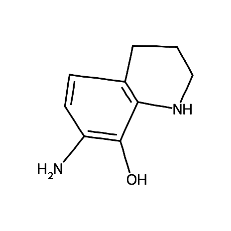 Nc1ccc2c(c1O)NCCC2